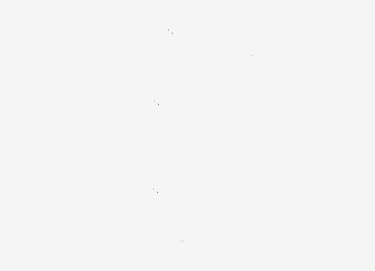 C[C@@H]1CCCN(C2CCN(C(=O)c3ncc(Br)s3)CC2)C1